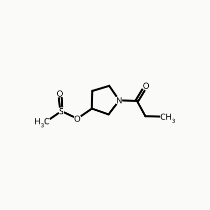 CCC(=O)N1CCC(OS(C)=O)C1